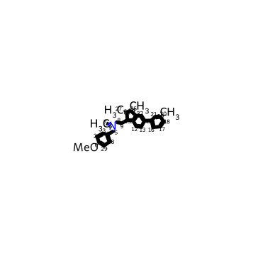 COc1ccc(CN(C)CCC2c3ccc(-c4cccc(C)c4)cc3C(C)[C@H]2C)cc1